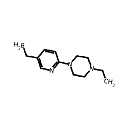 BCc1ccc(N2CCN(CC)CC2)nc1